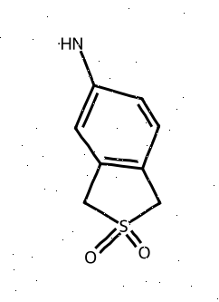 [NH]c1ccc2c(c1)CS(=O)(=O)C2